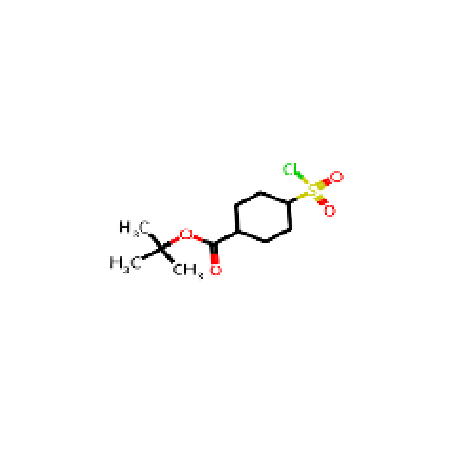 CC(C)(C)OC(=O)C1CCC(S(=O)(=O)Cl)CC1